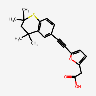 CC1(C)CC(C)(C)c2cc(C#Cc3ccc(CC(=O)O)o3)ccc2S1